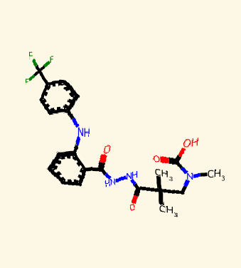 CN(CC(C)(C)C(=O)NNC(=O)c1ccccc1Nc1ccc(C(F)(F)F)cc1)C(=O)O